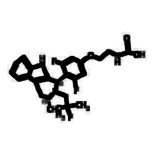 C[C@@H]1Cc2c([nH]c3ccccc23)[C@@H](c2c(F)cc(OCCNC(=O)O)cc2F)N1CC(C)(C)F